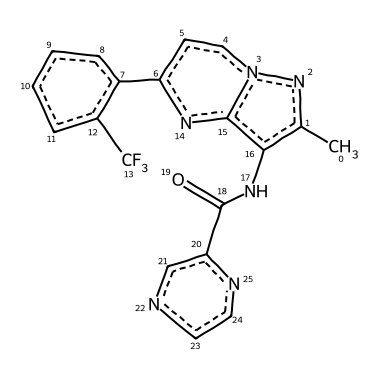 Cc1nn2ccc(-c3ccccc3C(F)(F)F)nc2c1NC(=O)c1cnccn1